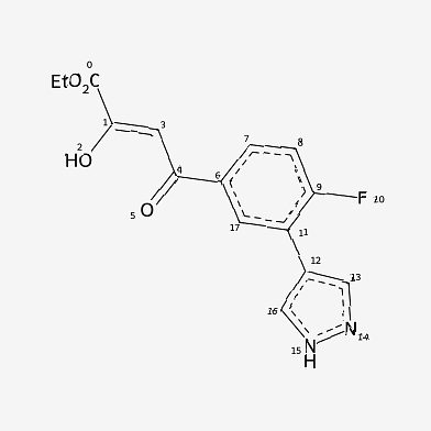 CCOC(=O)/C(O)=C/C(=O)c1ccc(F)c(-c2cn[nH]c2)c1